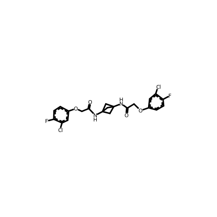 O=C(COc1ccc(F)c(Cl)c1)NC12CC(NC(=O)COc3ccc(F)c(Cl)c3)(C1)C2